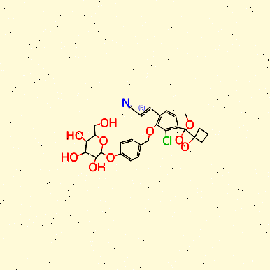 COC1(c2ccc(/C=C/C#N)c(OCc3ccc(OC4OC(CO)C(O)C(O)C4O)cc3)c2Cl)OOC12CCC2